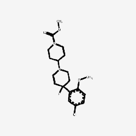 COC(=O)N1CCC(N2CCC(F)(c3cc(Cl)ccc3OC)CC2)CC1